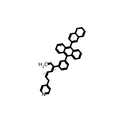 C=C/C(=C\C=C/Cc1ccncc1)c1cccc(-c2c3ccccc3c(C3=CC4C=CCCC4C=C3)c3ccccc23)c1